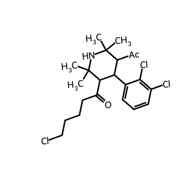 CC(=O)C1C(c2cccc(Cl)c2Cl)C(C(=O)CCCCCl)C(C)(C)NC1(C)C